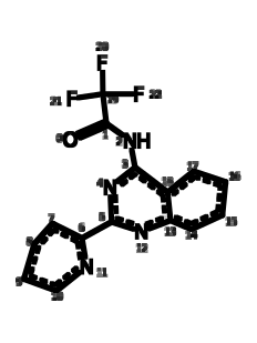 O=C(Nc1nc(-c2ccccn2)nc2ccccc12)C(F)(F)F